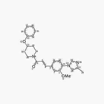 COc1cc(/C=C/C(=O)N2CCC(Oc3ccccc3)CC2)ccc1-n1cnc(C)c1